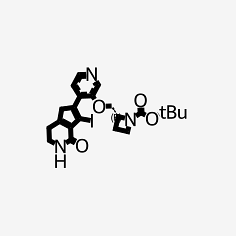 CC(C)(C)OC(=O)N1CC[C@@H]1COc1cnccc1C1=C(I)C2=C(CCNC2=O)C1